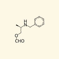 C[C@H](COC=O)NCc1ccccc1